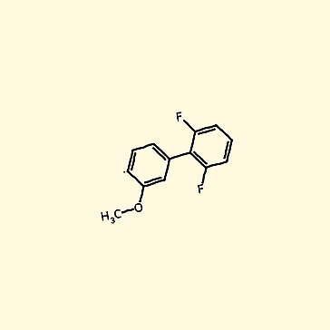 COc1[c]ccc(-c2c(F)cccc2F)c1